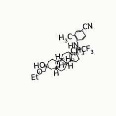 CCOC[C@@]1(O)CC[C@H]2[C@H](CC[C@@H]3[C@@H]2CC[C@]2(C)[C@@H]([C@H](Nc4ccc(C#N)cc4C)C(F)(F)F)CC[C@@H]32)C1